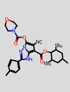 [C-]#[N+]c1c(C(=O)OC2C(C(C)(C)C)CC(C)CC2C(C)(C)C)c2[nH]c(-c3ccc(C)cc3)nn2c1OC(=O)N1CCOCC1